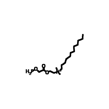 CCCCCCCCCCCC[N+](C)(C)CCOC(=O)COP